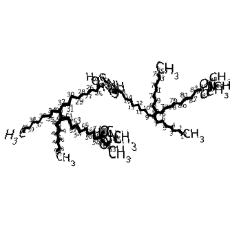 CCCCCCCCC(CCCCCCCCC(=O)NC(C)NC(=O)CCCCCCCCC(CCCCCCCC)C(CCCCCCCC)CCCCCCCCC(=O)OC(C)N(C)C)C(CCCCCCCC)CCCCCCCCC(=O)OC(C)N(C)C